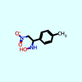 Cc1ccc(C(C[N+](=O)[O-])NO)cc1